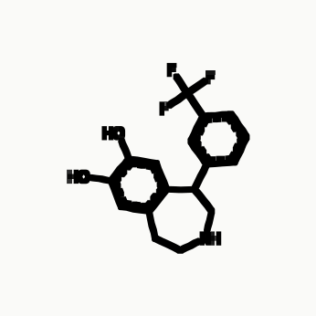 Oc1cc2c(cc1O)C(c1cccc(C(F)(F)F)c1)CNCC2